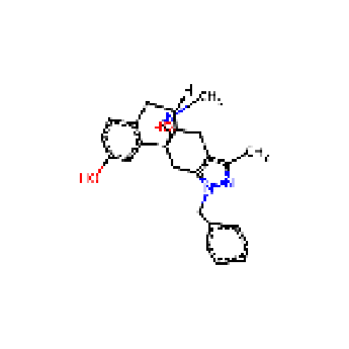 Cc1nn(Cc2ccccc2)c2c1C[C@@]1(O)[C@H]3Cc4ccc(O)cc4[C@@]1(CCN3C)C2